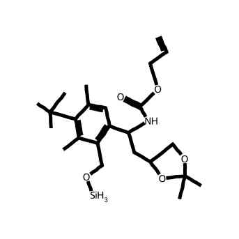 C=CCOC(=O)NC(CC1COC(C)(C)O1)c1cc(C)c(C(C)(C)C)c(C)c1CO[SiH3]